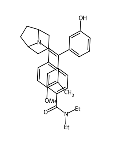 CCN(CC)C(=O)c1ccc(C(=C2CC3CCC(C2)N3Cc2ccc(OC)c(C)c2)c2cccc(O)c2)cc1